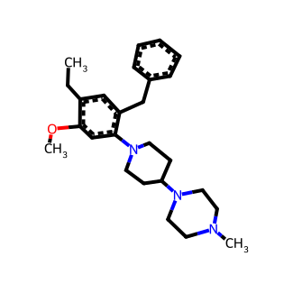 CCc1cc(Cc2ccccc2)c(N2CCC(N3CCN(C)CC3)CC2)cc1OC